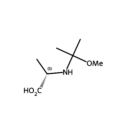 COC(C)(C)N[C@@H](C)C(=O)O